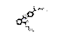 CCOC(=O)c1ccc(/N=C(\C)c2ccccc2C(=O)OCC)cc1